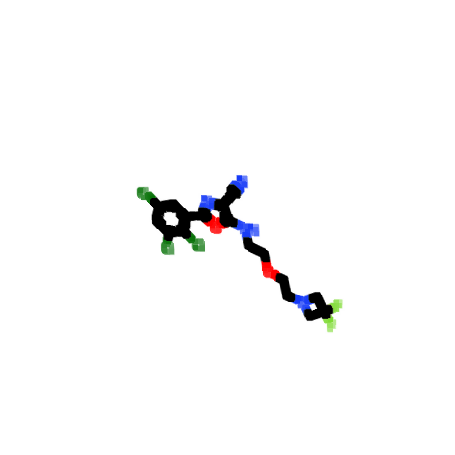 N#Cc1nc(-c2cc(Cl)cc(Cl)c2Cl)oc1NCCOCCN1CC(F)(F)C1